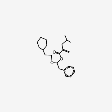 C=C(CC(C)C)C(=O)OC(Cc1ccccc1)OCCC1CCCCC1